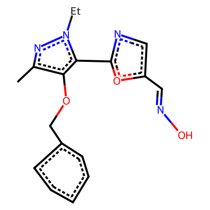 CCn1nc(C)c(OCc2ccccc2)c1-c1ncc(C=NO)o1